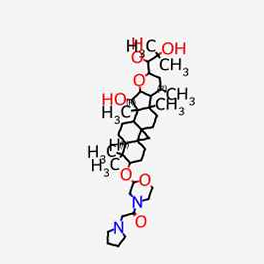 C[C@@H]1CC(C(O)C(C)(C)O)OC2C1C1(C)CCC34CC35CCC(OC3CN(C(=O)CN6CCCC6)CCO3)C(C)(C)[C@@H]5CCC4C1(C)[C@H]2O